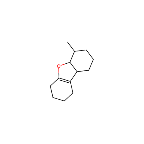 CC1CCCC2C3=C(CCCC3)OC12